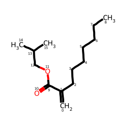 C=C(CCCCCCC)C(=O)OCC(C)C